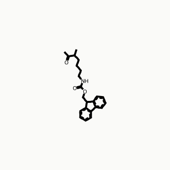 CC(=O)C(C)CCCCNC(=O)OCC1c2ccccc2-c2ccccc21